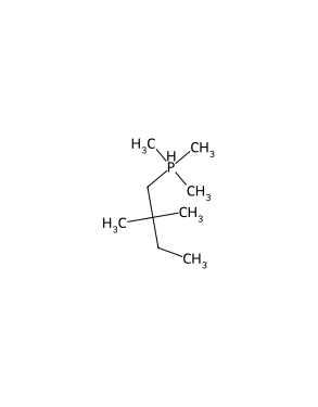 CCC(C)(C)C[PH](C)(C)C